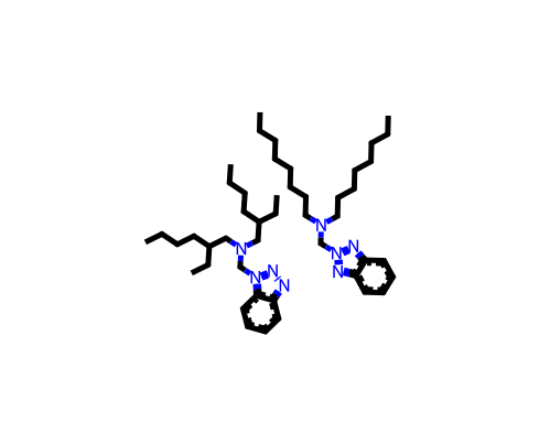 CCCCC(CC)CN(CC(CC)CCCC)Cn1nnc2ccccc21.CCCCCCCCN(CCCCCCCC)Cn1nc2ccccc2n1